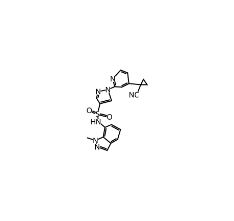 Cn1ncc2cccc(NS(=O)(=O)c3cnn(-c4cc(C5(C#N)CC5)ccn4)c3)c21